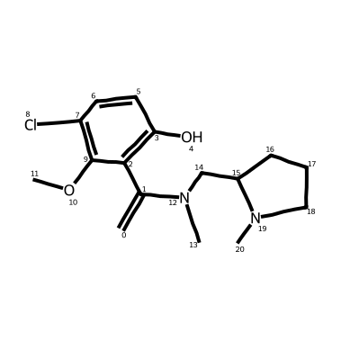 C=C(c1c(O)ccc(Cl)c1OC)N(C)CC1CCCN1C